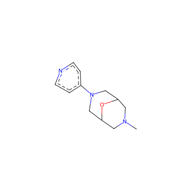 CN1CC2CN(c3ccncc3)CC(C1)O2